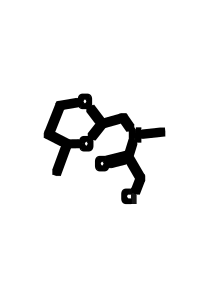 CC1CCOC(CN(C)C(=O)CCl)O1